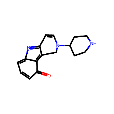 O=C1C=CC=C2N=C3C=CN(C4CCNCC4)CC3=C12